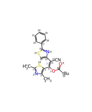 Cc1nc(C)c(/C(OC(=O)C(C)(C)C)=C(/C#N)c2csc(-c3ccccc3)n2)s1